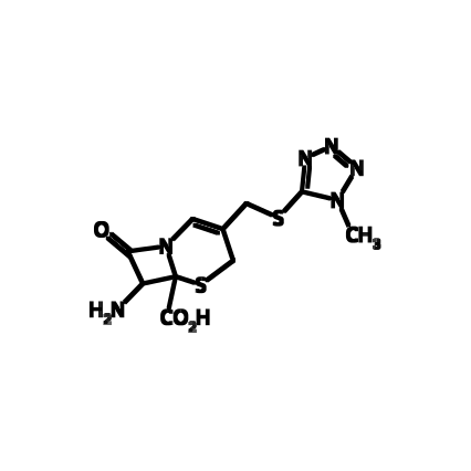 Cn1nnnc1SCC1=CN2C(=O)C(N)C2(C(=O)O)SC1